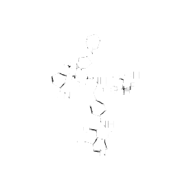 N#Cc1cccc(S(=O)(=O)N2C[C@H](N3CCCCC3)C[C@H]2C(=O)N[C@@H](Cc2ccc(NC(=O)c3c(Cl)cncc3Cl)cc2)C(=O)O)c1.O=C(O)C(F)(F)F